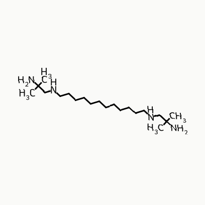 CC(C)(N)CNCCCCCCCCCCCCNCC(C)(C)N